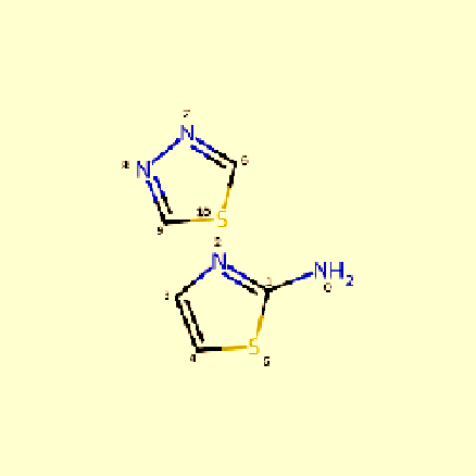 Nc1nccs1.c1nncs1